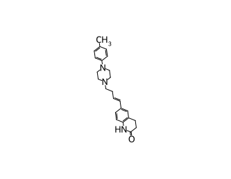 Cc1ccc(N2CCN(CC/C=C/c3ccc4c(c3)CCC(=O)N4)CC2)cc1